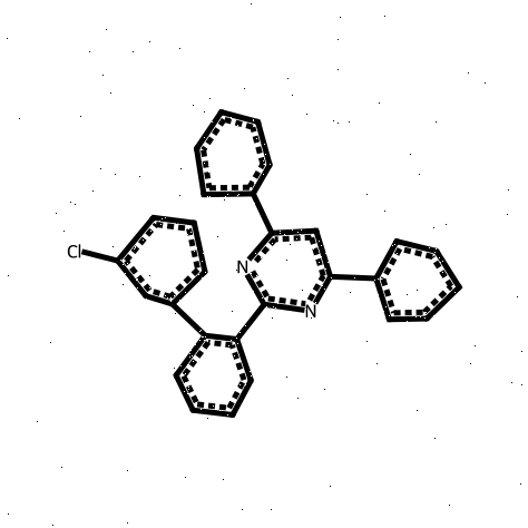 Clc1cccc(-c2ccccc2-c2nc(-c3ccccc3)cc(-c3ccccc3)n2)c1